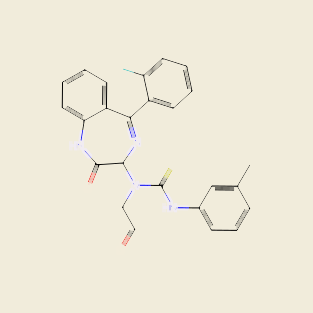 Cc1cccc(NC(=S)N(CC=O)C2N=C(c3ccccc3F)c3ccccc3NC2=O)c1